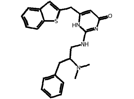 CN(C)C(CNc1nc(=O)cc(Cc2cc3ccccc3s2)[nH]1)Cc1ccccc1